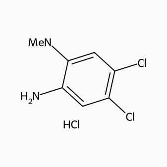 CNc1cc(Cl)c(Cl)cc1N.Cl